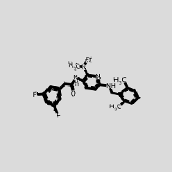 CCN(C)c1nc(NCc2c(C)cccc2C)ccc1NC(=O)Cc1cc(F)cc(F)c1